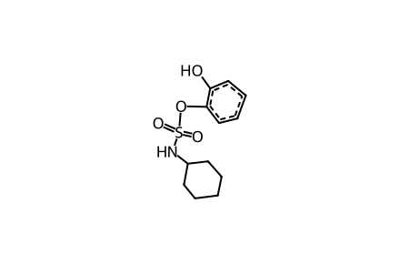 O=S(=O)(NC1CCCCC1)Oc1ccccc1O